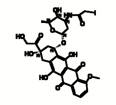 COc1cccc2c1C(=O)c1c(O)c3c(c(O)c1C2=O)C[C@@](O)(C(=O)CO)C[C@@H]3O[C@H]1C[C@H](NC(=O)CI)[C@H](O)[C@H](C)O1